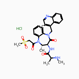 CNC(C)C(=O)N[C@@H]1C(=O)N(Cc2c(C)cnc3ccccc23)c2ccccc2N(C(=O)CS(C)(=O)=O)[C@H]1C.Cl